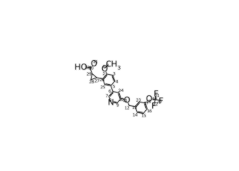 COc1ccc(-c2cncc(OCc3cccc(OC(F)(F)F)c3)c2)cc1C1CC1C(=O)O